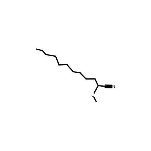 CCCCCCCCCCC(C#N)OC